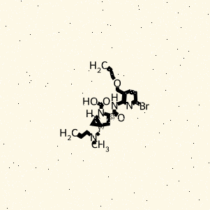 C=CCOCc1ccc(Br)nc1NC(=O)[C@@H]1C[C@@]2(CN(C)CC=C)C[C@H]2N1C(=O)O